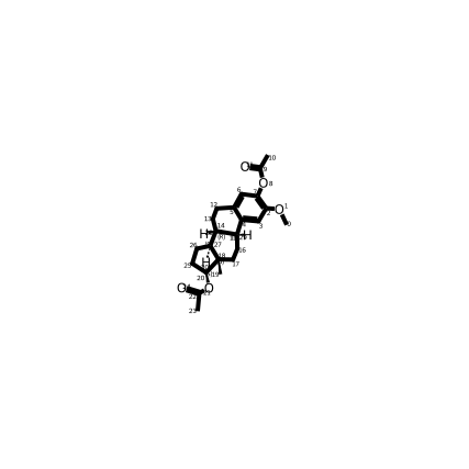 COc1cc2c(cc1OC(C)=O)CC[C@@H]1[C@@H]2CC[C@]2(C)[C@@H](OC(C)=O)CC[C@@H]12